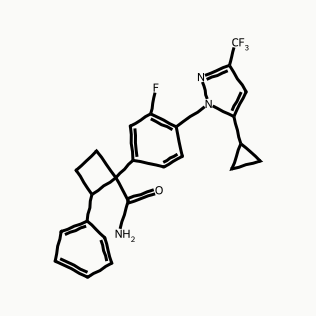 NC(=O)C1(c2ccc(-n3nc(C(F)(F)F)cc3C3CC3)c(F)c2)CCC1c1ccccc1